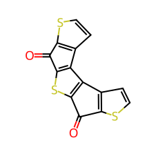 O=c1c2sccc2c2c1sc1c(=O)c3sccc3c12